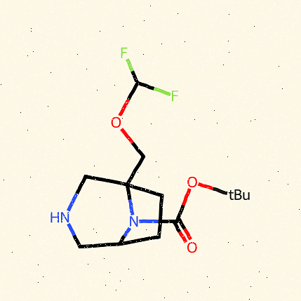 CC(C)(C)OC(=O)N1C2CCC1(COC(F)F)CNC2